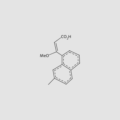 CO/C(=C/C(=O)O)c1cccc2ccc(C)cc12